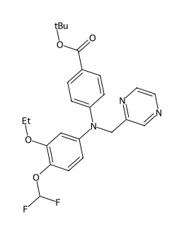 CCOc1cc(N(Cc2cnccn2)c2ccc(C(=O)OC(C)(C)C)cc2)ccc1OC(F)F